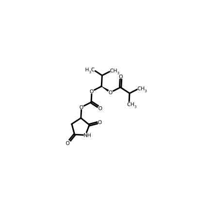 CC(C)C(=O)O[C@@H](OC(=O)OC1CC(=O)NC1=O)C(C)C